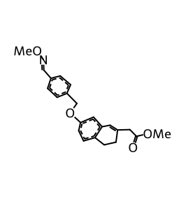 CON=Cc1ccc(COc2ccc3c(c2)C=C(CC(=O)OC)CC3)cc1